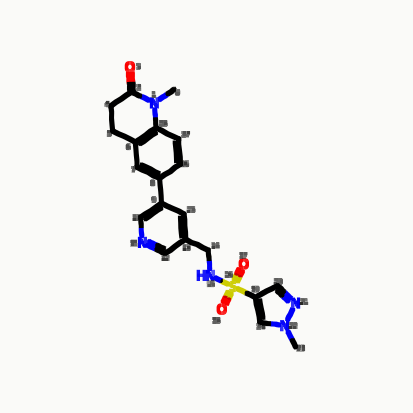 CN1C(=O)CCc2cc(-c3cncc(CNS(=O)(=O)c4cnn(C)c4)c3)ccc21